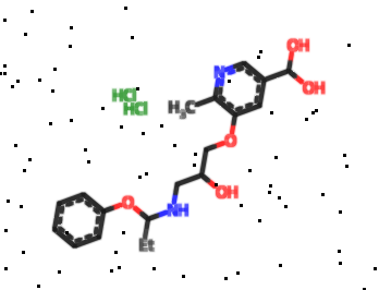 CCC(NCC(O)COc1cc(C(O)O)cnc1C)Oc1ccccc1.Cl.Cl